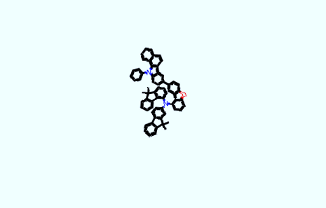 CC1(C)c2ccccc2-c2ccc(N(c3cccc4c3-c3ccccc3C4(C)C)c3cccc4oc5ccc(-c6ccc7c(c6)c6ccc8ccccc8c6n7-c6ccccc6)cc5c34)cc21